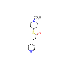 O=C(CCc1ccncc1)SC1CCN(C(=O)O)CC1